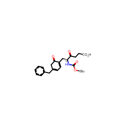 CC(C)(C)OC(=O)N[C@@H](CC1=CC=C(Cc2ccccc2)CC1=O)C(=O)CCC(=O)O